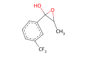 CC1OC1(O)c1cccc(C(F)(F)F)c1